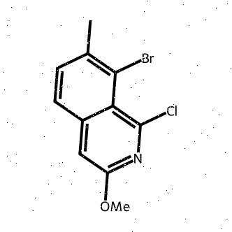 COc1cc2ccc(C)c(Br)c2c(Cl)n1